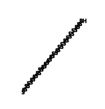 B=S=S=S=S=S=S=S=S=S=S=S=S=S=S=S=S=S=S=S=S=S=S=S=S=S=S=S=S=S=S=S=S=S=S=S=S=S=S=S=S=S=S=S